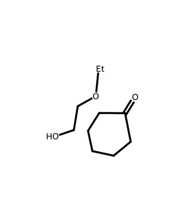 CCOCCO.O=C1CCCCC1